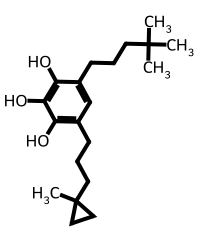 CC(C)(C)CCCc1cc(CCCC2(C)CC2)c(O)c(O)c1O